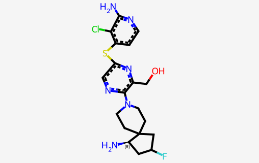 Nc1nccc(Sc2cnc(N3CCC4(CC3)CC(F)C[C@H]4N)c(CO)n2)c1Cl